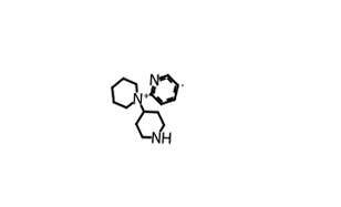 [c]1ccc([N+]2(C3CCNCC3)CCCCC2)nc1